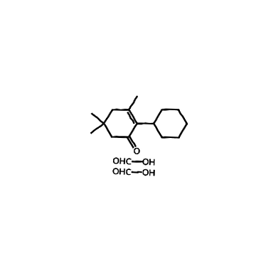 CC1=C(C2CCCCC2)C(=O)CC(C)(C)C1.O=CO.O=CO